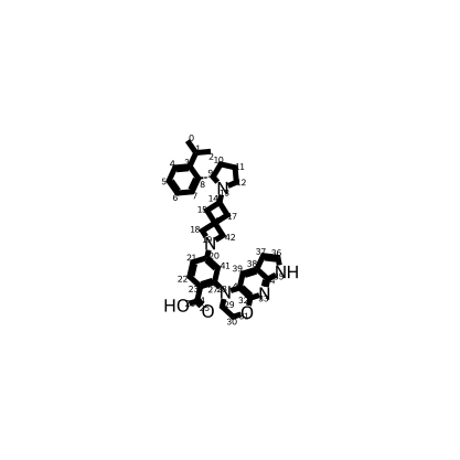 CC(C)c1ccccc1[C@@H]1CCCN1C1CC2(C1)CN(c1ccc(C(=O)O)c(N3CCOc4nc5[nH]ccc5cc43)c1)C2